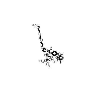 COCCOCCOCCO[C@H]1CCN(C(=O)C(NC(=O)OC(C)(C)C)c2ccc(OS(=O)(=O)C(F)(F)F)cc2)C1